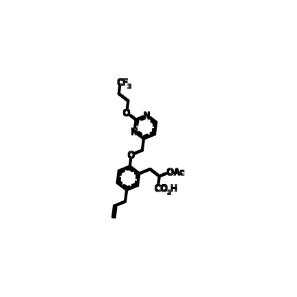 C=CCc1ccc(OCc2ccnc(OCCC(F)(F)F)n2)c(CC(OC(C)=O)C(=O)O)c1